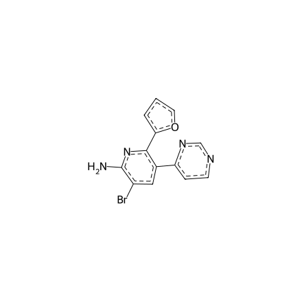 Nc1nc(-c2ccco2)c(-c2ccncn2)cc1Br